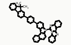 CC1(C)c2ccccc2-c2ccc(-c3ccc(-c4ccc5c(c4)c4c6ccccc6ccc4n5-c4nc5ccccc5c5nc6ccccc6n45)cc3)cc21